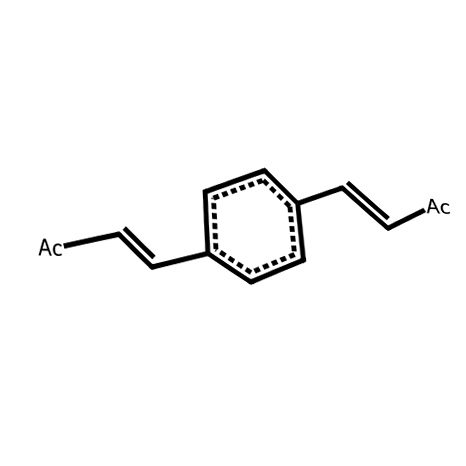 CC(=O)C=Cc1ccc(C=CC(C)=O)cc1